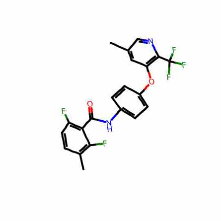 Cc1cnc(C(F)(F)F)c(Oc2ccc(NC(=O)c3c(F)ccc(C)c3F)cc2)c1